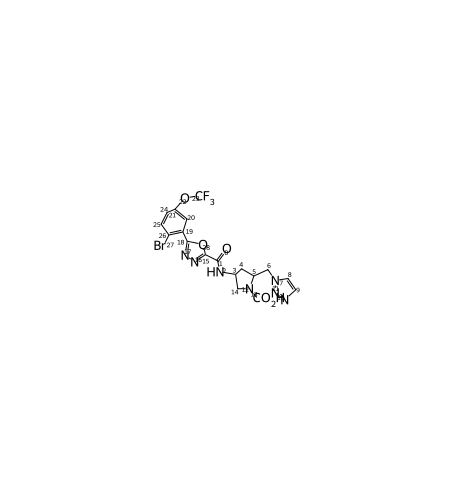 O=C(NC1CC(Cn2ccnn2)N(C(=O)O)C1)c1nnc(-c2cc(OC(F)(F)F)ccc2Br)o1